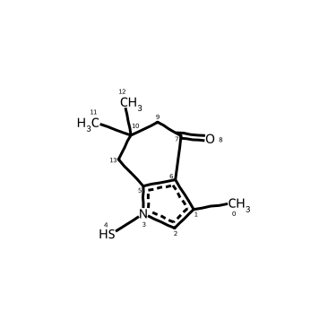 Cc1cn(S)c2c1C(=O)CC(C)(C)C2